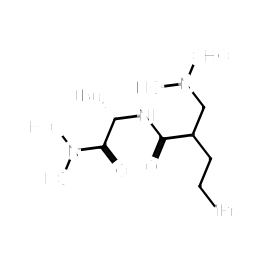 CC(C)CCC(CN(O)C=O)C(=O)N[C@H](C(=O)N(C)C)C(C)(C)C